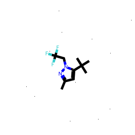 Cc1cc(C(C)(C)C)n(CC(F)(F)F)n1